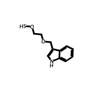 SOCCOCc1c[nH]c2ccccc12